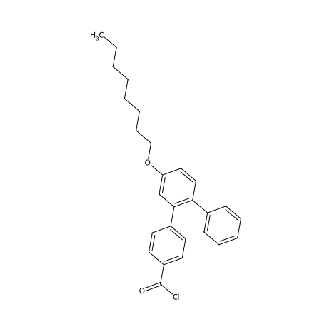 CCCCCCCCOc1ccc(-c2ccccc2)c(-c2ccc(C(=O)Cl)cc2)c1